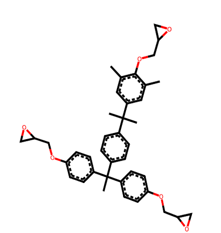 Cc1cc(C(C)(C)c2ccc(C(C)(c3ccc(OCC4CO4)cc3)c3ccc(OCC4CO4)cc3)cc2)cc(C)c1OCC1CO1